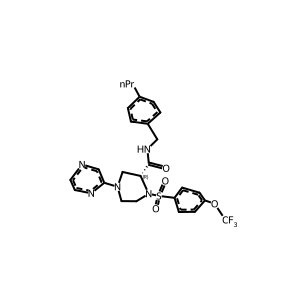 CCCc1ccc(CNC(=O)[C@H]2CN(c3cnccn3)CCN2S(=O)(=O)c2ccc(OC(F)(F)F)cc2)cc1